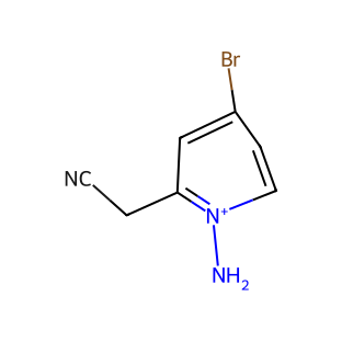 N#CCc1cc(Br)cc[n+]1N